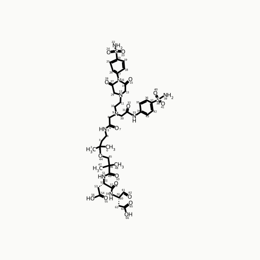 CC(C)(CCNC(=O)CN(CCN1CC(=O)N(c2ccc(S(N)(=O)=O)cc2)C(=O)C1)CC(=O)Nc1ccc(S(N)(=O)=O)cc1)OCC(C)(C)C(=O)N[C@@H](CC(=O)O)C(=O)N[C@H](C=O)CC(=O)O